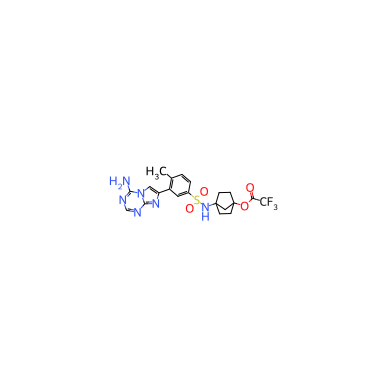 Cc1ccc(S(=O)(=O)NC23CCC(OC(=O)C(F)(F)F)(CC2)C3)cc1-c1cn2c(N)ncnc2n1